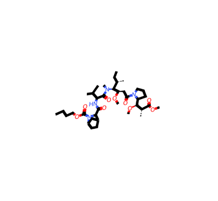 CCCCOC(=O)N1C2CCC(C2)C1C(=O)NC(C(=O)N(C)[C@@H]([C@@H](C)CC)[C@@H](CC(=O)N1CCCC1[C@H](OC)[C@@H](C)C(=O)OC)OC)C(C)C